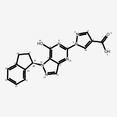 O=C(O)c1cnn(-c2nc(O)c3c(cnn3[C@@H]3CCc4ccccc43)n2)c1